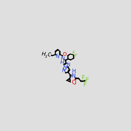 CCc1cccc(C(=O)N[C@H](c2cn3ncc([C@H](NC(=O)CCC(F)(F)F)C4CC4)cc3n2)C2CCC(F)(F)CC2)n1